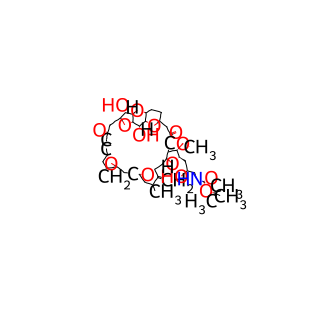 C=C1CC2CCC(=O)CC3OC4C(O)[C@H]5OC(CCC5O[C@H]4C3O)CC(=O)CC3[C@H](CC4OC(CCC1O2)CC(C)C4=C)O[C@H](CC(O)CNC(=O)OC(C)(C)C)[C@@H]3OC